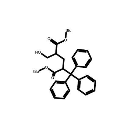 CC(C)(C)OC(=O)C(CO)CC(C(=O)OC(C)(C)C)C(c1ccccc1)(c1ccccc1)c1ccccc1